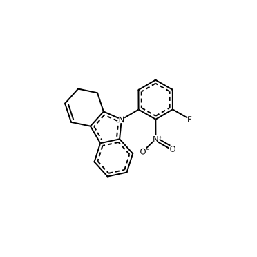 O=[N+]([O-])c1c(F)cccc1-n1c2c(c3ccccc31)C=CCC2